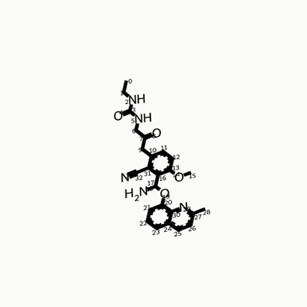 CCNC(=O)NCC(=O)Cc1ccc(OC)c(C(N)Oc2cccc3ccc(C)nc23)c1C#N